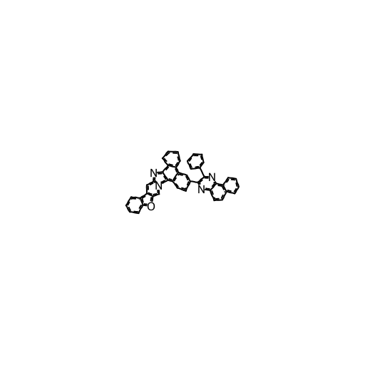 c1ccc(-c2nc3c(ccc4ccccc43)nc2-c2ccc3c(c2)c2ccccc2c2nc4cc5c(cn4c32)oc2ccccc25)cc1